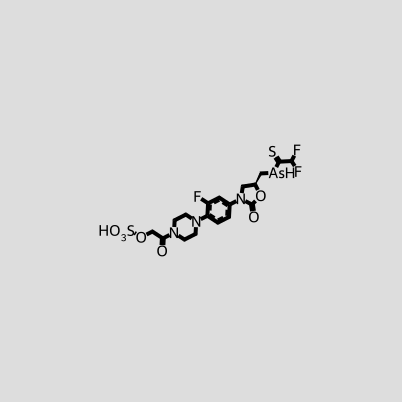 O=C(COS(=O)(=O)O)N1CCN(c2ccc(N3C[C@@H](C[AsH]C(=S)C(F)F)OC3=O)cc2F)CC1